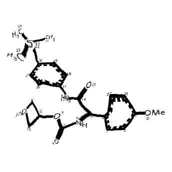 COc1ccc(C(NC(=O)OC2COC2)C(=O)Nc2ccc(S(C)(C)C)cc2)cc1